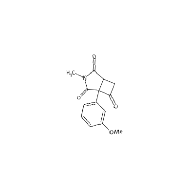 COc1cccc(C23C(=O)CC2C(=O)N(C)C3=O)c1